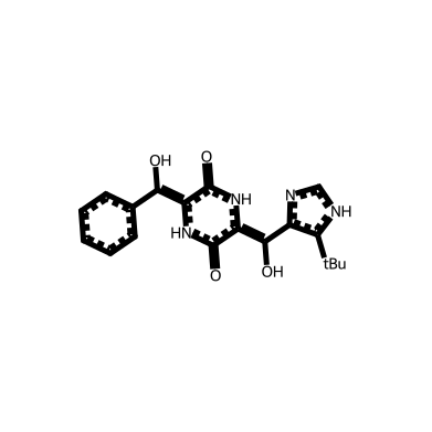 CC(C)(C)c1[nH]cnc1/C(O)=c1\[nH]c(=O)/c(=C(\O)c2ccccc2)[nH]c1=O